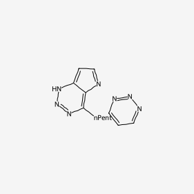 CCCCCc1nn[nH]c2ccnc1-2.c1cnnnc1